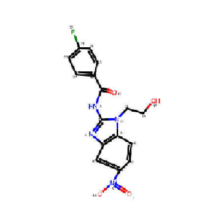 O=C(Nc1nc2cc([N+](=O)[O-])ccc2n1CCO)c1ccc(F)cc1